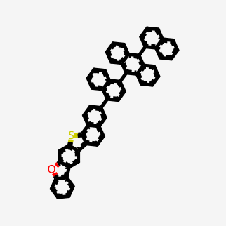 c1ccc2c(-c3c4ccccc4c(-c4ccc(-c5ccc6c(ccc7c8cc9c(cc8sc67)oc6ccccc69)c5)c5ccccc45)c4ccccc34)cccc2c1